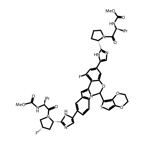 COC(=O)N[C@H](C(=O)N1CCC[C@H]1c1ncc(-c2cc(F)c3c(c2)OC(c2scc4c2OCCO4)n2c-3cc3cc(-c4cnc([C@@H]5C[C@H](F)CN5C(=O)[C@@H](NC(=O)OC)C(C)C)[nH]4)ccc32)[nH]1)C(C)C